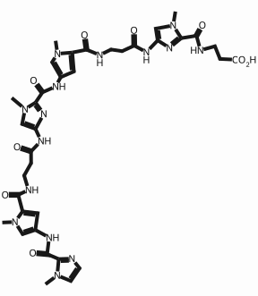 Cn1cc(NC(=O)c2nc(NC(=O)CCNC(=O)c3cc(NC(=O)c4nccn4C)cn3C)cn2C)cc1C(=O)NCCC(=O)Nc1cn(C)c(C(=O)NCCC(=O)O)n1